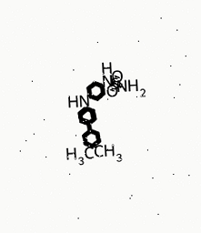 CC1(C)CCC(c2ccc(NC3CCC(NS(N)(=O)=O)CC3)cc2)CC1